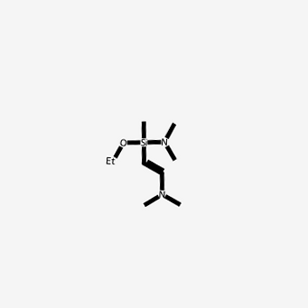 CCO[Si](C)(C=CN(C)C)N(C)C